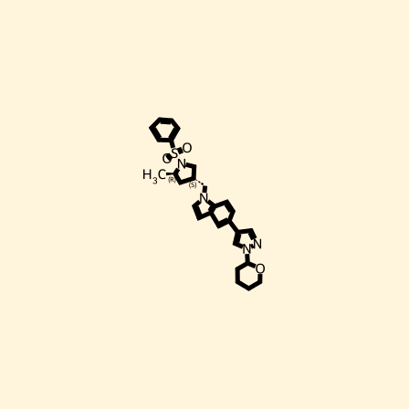 C[C@@H]1C[C@@H](Cn2ccc3cc(-c4cnn(C5CCCCO5)c4)ccc32)CN1S(=O)(=O)c1ccccc1